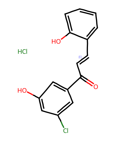 Cl.O=C(/C=C/c1ccccc1O)c1cc(O)cc(Cl)c1